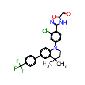 CC1(C)CCN(c2ccc(C3=NOC(C=O)N3)c(Cl)c2)c2ccc(-c3ccc(C(F)(F)F)cc3)cc21